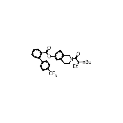 CCCCC(CC)C(=O)N1CCc2cc(OC(=O)c3ccccc3-c3ccc(C(F)(F)F)cc3)ccc2C1